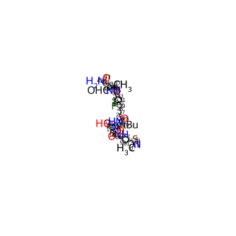 Cc1ncsc1-c1ccc(CNC(=O)[C@@H]2C[C@@H](O)CN2C(=O)C(NC(=O)CCCCc2ccc(CO[C@H](C)[C@H](CCC(N)=O)NC=O)cc2F)C(C)(C)C)cc1